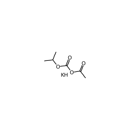 CC(=O)OC(=O)OC(C)C.[KH]